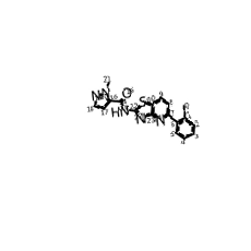 Cc1ccccc1-c1ccc2sc(NC(=O)c3ccnn3C)nc2n1